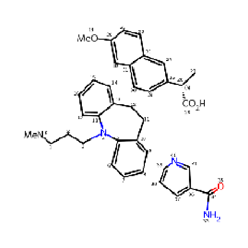 CNCCCN1c2ccccc2CCc2ccccc21.COc1ccc2cc([C@H](C)C(=O)O)ccc2c1.NC(=O)c1cccnc1